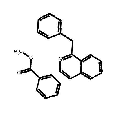 COC(=O)c1ccccc1.c1ccc(Cc2nccc3ccccc23)cc1